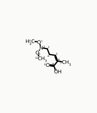 CON(CCC=C(C)C(=O)O)OC